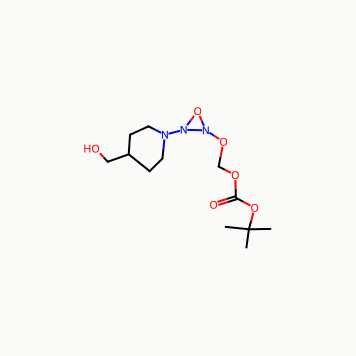 CC(C)(C)OC(=O)OCOn1on1N1CCC(CO)CC1